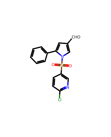 O=Cc1cc(-c2ccccc2)n(S(=O)(=O)c2ccc(Cl)nc2)c1